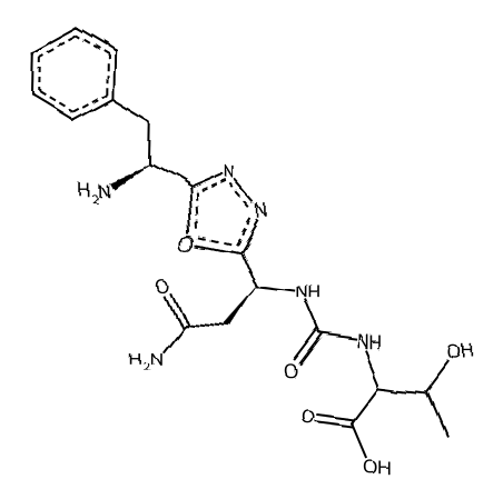 CC(O)C(NC(=O)N[C@@H](CC(N)=O)c1nnc([C@@H](N)Cc2ccccc2)o1)C(=O)O